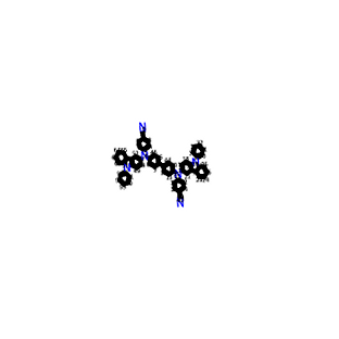 N#CC1=CC=C(N(c2ccc(-c3ccc(N(C4=CC=C5C(C4)C4C=CC=CC4N5c4ccccc4)c4ccc(C#N)cc4)cc3)cc2)c2ccc3c(c2)c2c(n3-c3ccccc3)C=CCC2)CC1